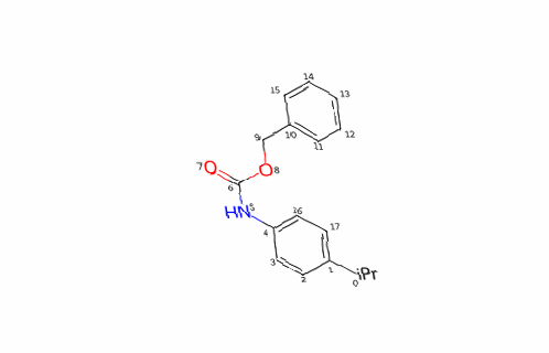 CC(C)c1ccc(NC(=O)OCc2ccccc2)cc1